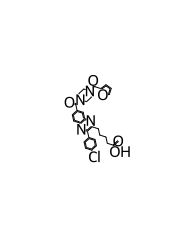 O=C(O)CCCCc1nc2cc(C(=O)N3CCN(C(=O)c4ccco4)CC3)ccc2nc1-c1ccc(Cl)cc1